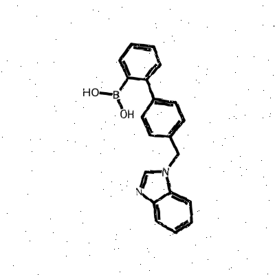 OB(O)c1ccccc1-c1ccc(Cn2cnc3ccccc32)cc1